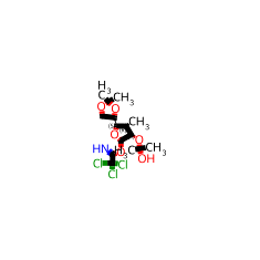 C[C@@H]1[C@@H](C2COC(C)(C)O2)OC(OC(=N)C(Cl)(Cl)Cl)[C@@H]1OC(C)(C)O